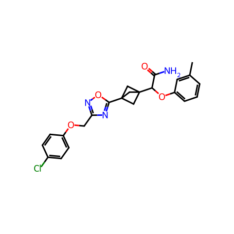 Cc1cccc(OC(C(N)=O)C23CC(c4nc(COc5ccc(Cl)cc5)no4)(C2)C3)c1